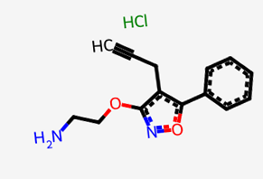 C#CCc1c(OCCN)noc1-c1ccccc1.Cl